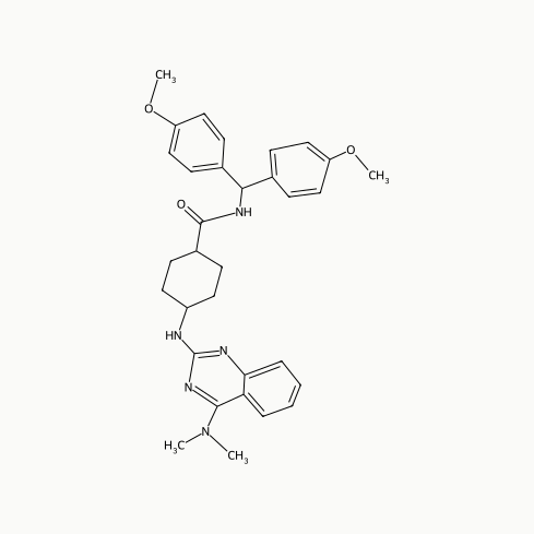 COc1ccc(C(NC(=O)C2CCC(Nc3nc(N(C)C)c4ccccc4n3)CC2)c2ccc(OC)cc2)cc1